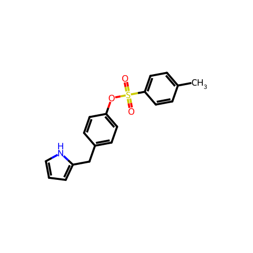 Cc1ccc(S(=O)(=O)Oc2ccc(Cc3ccc[nH]3)cc2)cc1